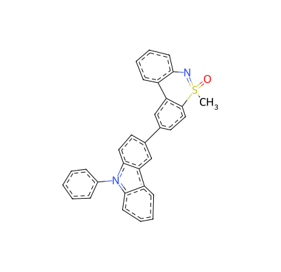 CS1(=O)=Nc2ccccc2-c2cc(-c3ccc4c(c3)c3ccccc3n4-c3ccccc3)ccc21